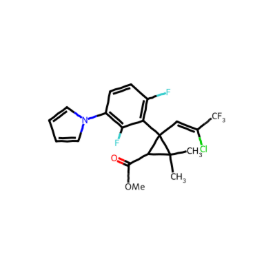 COC(=O)C1C(C)(C)C1(C=C(Cl)C(F)(F)F)c1c(F)ccc(-n2cccc2)c1F